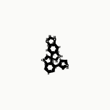 C1=Nc2cccc(-c3ccoc3)c2[C@]12COc1cc3c(cc12)OCO3